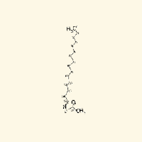 CCCCCCCCCCCCCCCC1=NCC(C)O1